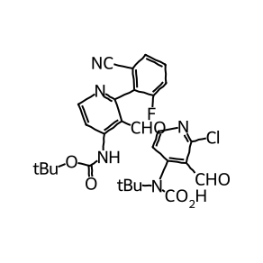 CC(C)(C)N(C(=O)O)c1ccnc(Cl)c1C=O.CC(C)(C)OC(=O)Nc1ccnc(-c2c(F)cccc2C#N)c1C=O